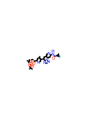 CC[C@H](OP(=O)(OC(C)(C)C)OC(C)(C)C)c1cc(C)c(-c2cc3cnc(NC(=O)[C@H]4C[C@H]4F)cc3n3ncnc23)cn1